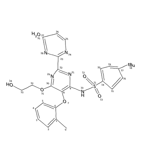 Cc1ccccc1Oc1c(NS(=O)(=O)c2ccc(C(C)(C)C)cc2)nc(-c2ncccn2)nc1OCCO.O